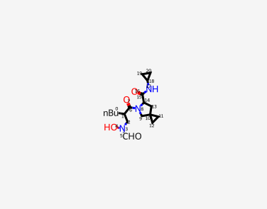 CCCCC(CN(O)C=O)C(=O)N1CC2(CC2)CC1C(=O)NC1CC1